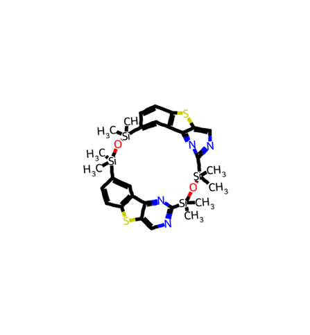 C[Si]1(C)O[Si](C)(C)c2ccc3sc4cnc(nc4c3c2)[Si](C)(C)O[Si](C)(C)c2ncc3sc4ccc1cc4c3n2